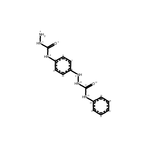 NNC(=O)Nc1ccc(NNC(=O)Nc2ccccc2)cc1